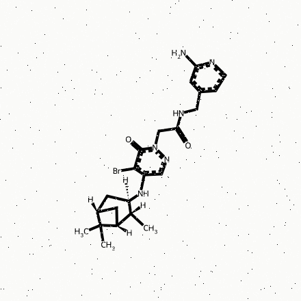 C[C@@H]1[C@H]2C[C@@H](C[C@H]1Nc1cnn(CC(=O)NCc3ccnc(N)c3)c(=O)c1Br)C2(C)C